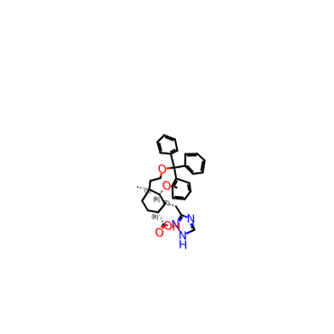 CO[C@@H]1[C@H](Cc2nc[nH]n2)[C@H](C(=O)O)CC[C@@]1(C)CCOC(c1ccccc1)(c1ccccc1)c1ccccc1